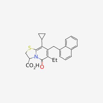 CCc1c(Cc2cccc3ccccc23)c(C2CC2)c2n(c1=O)C(C(=O)O)CS2